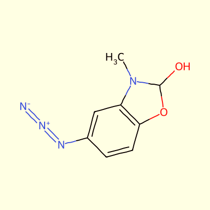 CN1c2cc(N=[N+]=[N-])ccc2OC1O